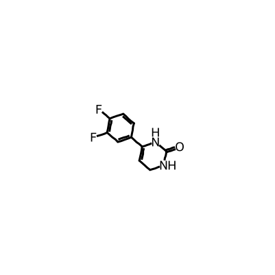 O=C1NCC=C(c2ccc(F)c(F)c2)N1